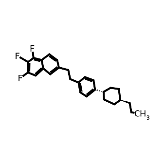 CCC[C@H]1CC[C@H](c2ccc(CCc3ccc4c(F)c(F)c(F)cc4c3)cc2)CC1